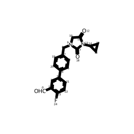 O=Cc1cc(-c2ccc(CN3CC(=O)N(C4CC4)C3=O)cc2)ccc1F